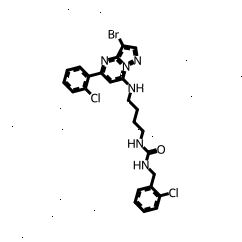 O=C(NCCCCNc1cc(-c2ccccc2Cl)nc2c(Br)cnn12)NCc1ccccc1Cl